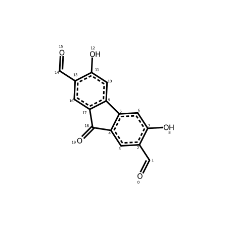 O=Cc1cc2c(cc1O)-c1cc(O)c(C=O)cc1C2=O